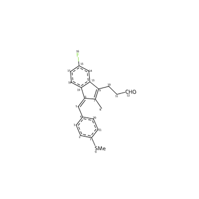 CSc1ccc(C=C2C(C)=C(CCC=O)c3cc(F)ccc32)cc1